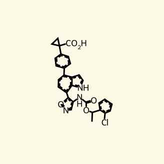 CC(OC(=O)Nc1cnoc1-c1ccc(-c2ccc(C3(C(=O)O)CC3)cc2)c2cc[nH]c12)c1ccccc1Cl